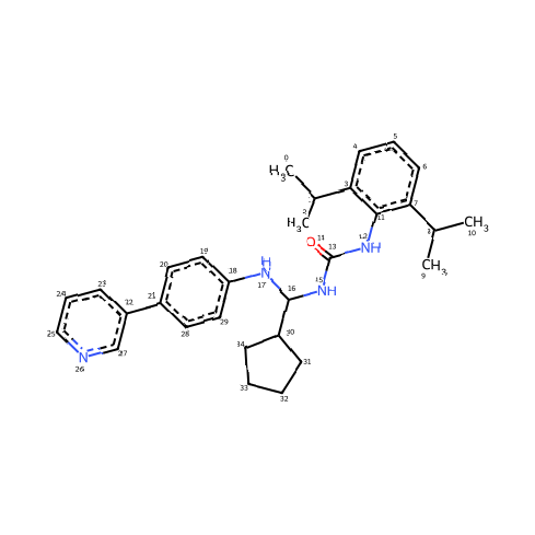 CC(C)c1cccc(C(C)C)c1NC(=O)NC(Nc1ccc(-c2cccnc2)cc1)C1CCCC1